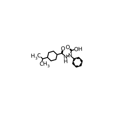 CC(C)C1CCC(C(=O)NN(C(=O)O)c2ccccc2)CC1